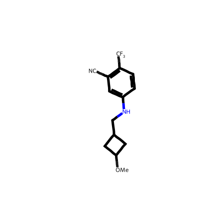 COC1CC(CNc2ccc(C(F)(F)F)c(C#N)c2)C1